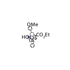 CCOC(=O)c1sc([S+]([O-])Cc2ccccc2)c2c1CC(c1ccc(OC)cc1)C/C2=N\O